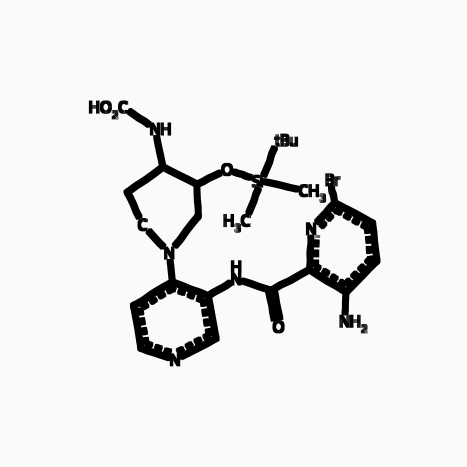 CC(C)(C)[Si](C)(C)OC1CN(c2ccncc2NC(=O)c2nc(Br)ccc2N)CCC1NC(=O)O